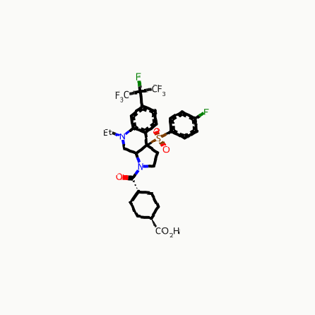 CCN1CC2N(C(=O)[C@H]3CC[C@H](C(=O)O)CC3)CCC2(S(=O)(=O)c2ccc(F)cc2)c2ccc(C(F)(C(F)(F)F)C(F)(F)F)cc21